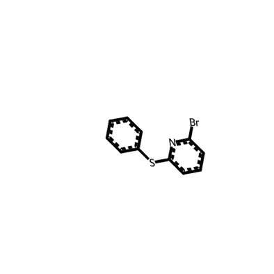 Brc1cccc(Sc2ccccc2)n1